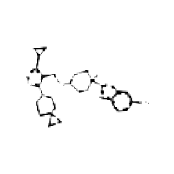 N#Cc1ccc2nc(C3(O)CCC(OCc4c(C5CCC6(CC5)CC6)noc4C4CC4)CC3)sc2c1